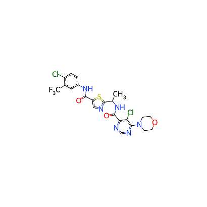 CC(NC(=O)c1ncnc(N2CCOCC2)c1Cl)c1ncc(C(=O)Nc2ccc(Cl)c(C(F)(F)F)c2)s1